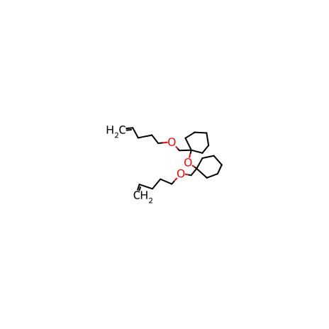 C=CCCCOCC1(OC2(COCCCC=C)CCCCC2)CCCCC1